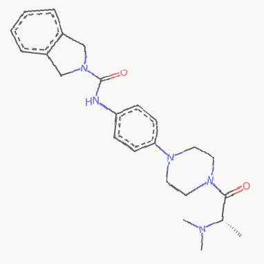 C[C@@H](C(=O)N1CCN(c2ccc(NC(=O)N3Cc4ccccc4C3)cc2)CC1)N(C)C